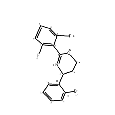 Fc1cccc(F)c1C1=NC(c2ccccc2Br)CCO1